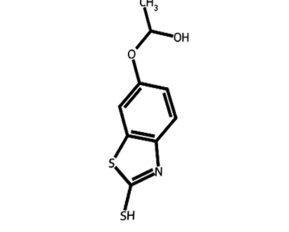 CC(O)Oc1ccc2nc(S)sc2c1